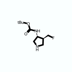 CC(C)(C)OC(=O)N[C@H]1CNC[C@@H]1CF